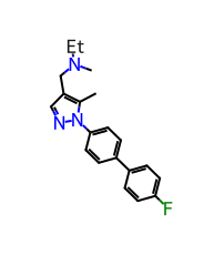 CCN(C)Cc1cnn(-c2ccc(-c3ccc(F)cc3)cc2)c1C